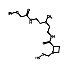 CC(C)OCC(=O)NCCN(C)CCNC(=O)C1CCN1CSS